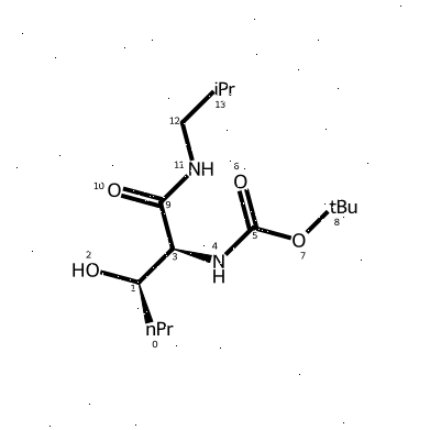 CCC[C@@H](O)[C@H](NC(=O)OC(C)(C)C)C(=O)NCC(C)C